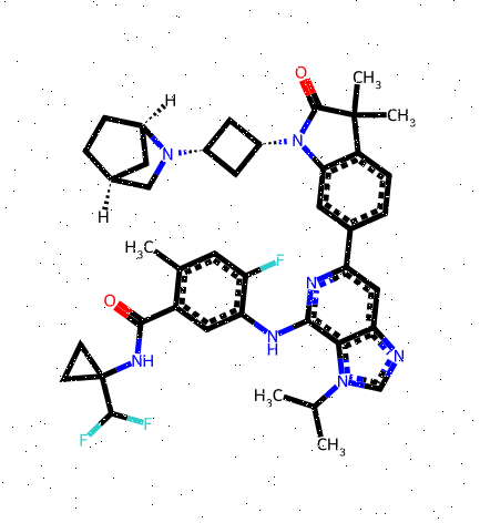 Cc1cc(F)c(Nc2nc(-c3ccc4c(c3)N([C@H]3C[C@@H](N5C[C@H]6CC[C@@H]5C6)C3)C(=O)C4(C)C)cc3ncn(C(C)C)c23)cc1C(=O)NC1(C(F)F)CC1